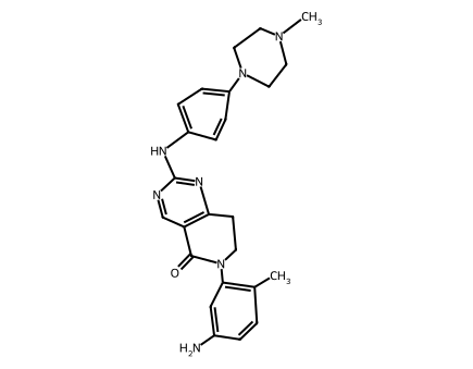 Cc1ccc(N)cc1N1CCc2nc(Nc3ccc(N4CCN(C)CC4)cc3)ncc2C1=O